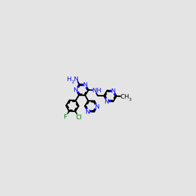 Cc1cnc(CNc2nc(N)nc(-c3ccc(F)c(Cl)c3)c2-c2cncnc2)cn1